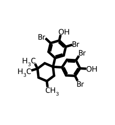 CC1CC(C)(C)CC(c2cc(Br)c(O)c(Br)c2)(c2cc(Br)c(O)c(Br)c2)C1